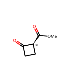 COC(=O)[C@H]1CCC1=O